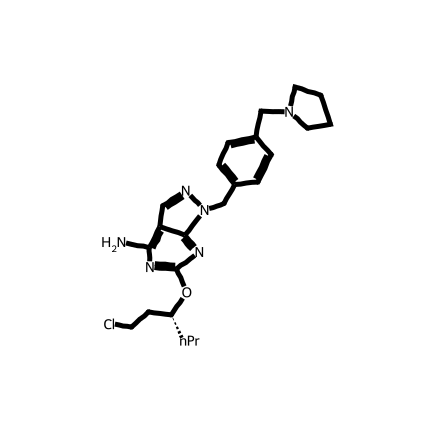 CCC[C@H](CCCl)Oc1nc(N)c2cnn(Cc3ccc(CN4CCCC4)cc3)c2n1